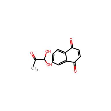 CC(=O)C(O)O.O=C1C=CC(=O)c2ccccc21